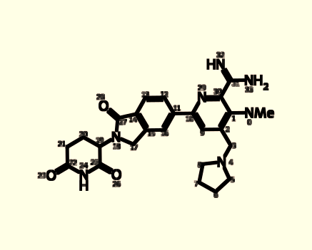 CNc1c(CN2CCCC2)cc(-c2ccc3c(c2)CN(C2CCC(=O)NC2=O)C3=O)nc1C(=N)N